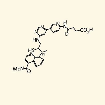 CNC(=O)c1ccnc2c([C@H](C)C(S)CNc3cc(-c4ccc(NC(=O)CCC(=O)O)nc4)ncn3)cccc12